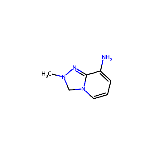 CN1CN2C=CC=C(N)C2=N1